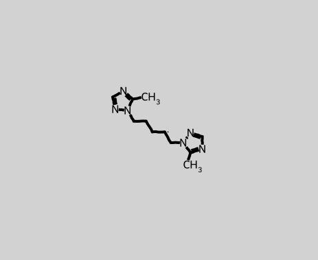 Cc1ncnn1C[CH]CCCn1ncnc1C